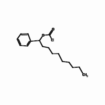 CCCCCCCCCC(OC(=O)Cl)c1ccccc1